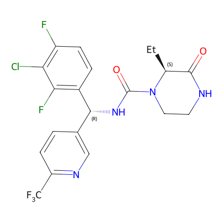 CC[C@H]1C(=O)NCCN1C(=O)N[C@H](c1ccc(C(F)(F)F)nc1)c1ccc(F)c(Cl)c1F